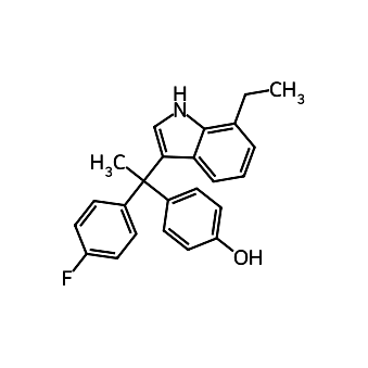 CCc1cccc2c(C(C)(c3ccc(O)cc3)c3ccc(F)cc3)c[nH]c12